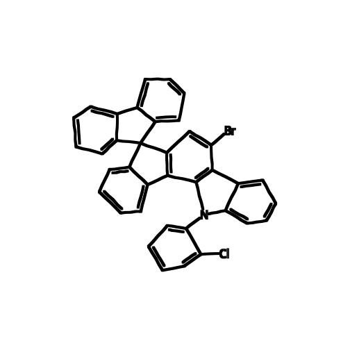 Clc1ccccc1-n1c2ccccc2c2c(Br)cc3c(c21)-c1ccccc1C31c2ccccc2-c2ccccc21